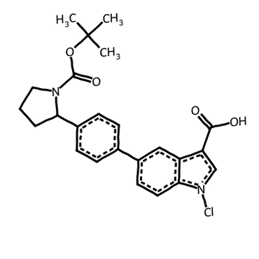 CC(C)(C)OC(=O)N1CCCC1c1ccc(-c2ccc3c(c2)c(C(=O)O)cn3Cl)cc1